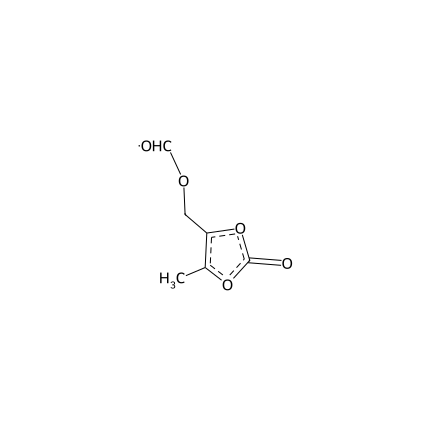 Cc1oc(=O)oc1CO[C]=O